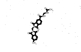 CC(=O)NCNC(=O)c1ccc2c(c1)C(=O)N(CN1C(=O)c3ccc(C)cc3C1=O)C2=O